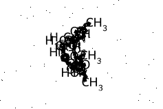 C/C=C/C1=CN2C(=O)c3cc(OC)c(OCCCOc4cc5c(cc4OC)C(=O)N4C=C(/C=C/C)C[C@H]4[C@H](O)N5C(=O)OCc4ccc(NCC(=O)[C@H](C)NC)cc4)cc3N=C[C@@H]2C1